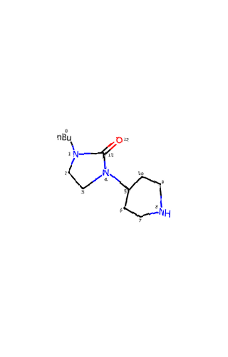 CCCCN1CCN(C2CCNCC2)C1=O